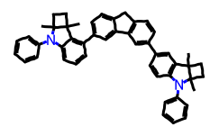 CC12CCC1(C)N(c1ccccc1)c1ccc(-c3ccc4c(c3)-c3cc(-c5cccc6c5C5(C)CCC5(C)N6c5ccccc5)ccc3C4)cc12